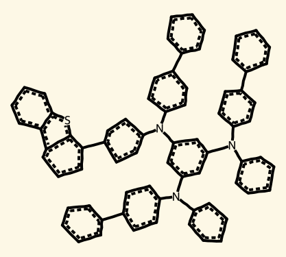 c1ccc(-c2ccc(N(c3ccccc3)c3cc(N(c4ccccc4)c4ccc(-c5ccccc5)cc4)cc(N(c4ccc(-c5ccccc5)cc4)c4ccc(-c5cccc6c5sc5ccccc56)cc4)c3)cc2)cc1